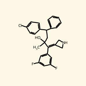 CC(O)(CC(c1ccccc1)c1ccc(Cl)cc1)C(=C1CNC1)c1cc(F)cc(F)c1